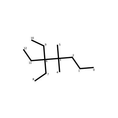 CCCC(C)(C)C(CC)(CC)CC